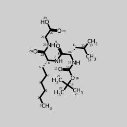 CCCCCC[C@@H](NC(=O)[C@H](CC(C)C)NC(=O)OC(C)(C)C)C(=O)NCC(=O)O